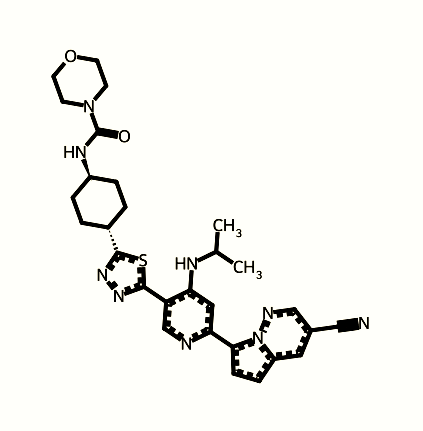 CC(C)Nc1cc(-c2ccc3cc(C#N)cnn23)ncc1-c1nnc([C@H]2CC[C@H](NC(=O)N3CCOCC3)CC2)s1